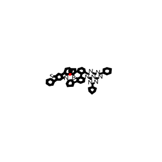 c1ccc(B2c3c(-c4ccccc4C4=NC5=NC(c6ccccc6)=NC6=NC(c7ccccc7)=NC(=N4)N65)cccc3-c3cccc(-n4c5ccccc5c5cc6sc7ccccc7c6cc54)c32)cc1